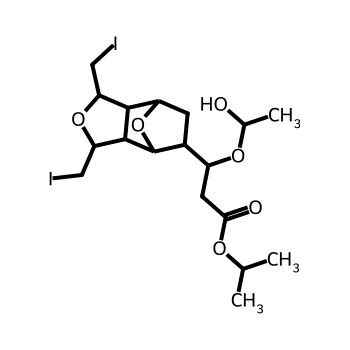 CC(C)OC(=O)CC(OC(C)O)C1CC2OC1C1C(CI)OC(CI)C21